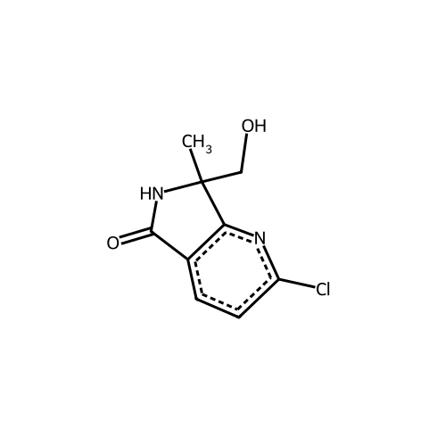 CC1(CO)NC(=O)c2ccc(Cl)nc21